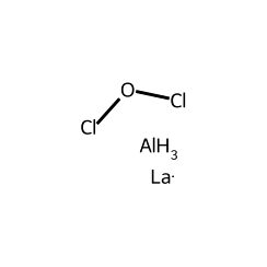 ClOCl.[AlH3].[La]